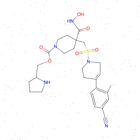 Cc1cc(C#N)ccc1C1=CCN(S(=O)(=O)CC2(C(=O)NO)CCN(C(=O)OCC3CCCN3)CC2)CC1